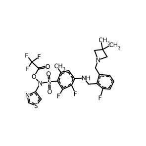 Cc1cc(NCc2c(F)cccc2CN2CC(C)(C)C2)c(F)c(F)c1S(=O)(=O)N(OC(=O)C(F)(F)F)c1cscn1